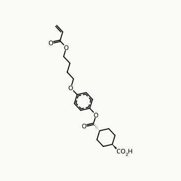 C=CC(=O)OCCCCOc1ccc(OC(=O)[C@H]2CC[C@H](C(=O)O)CC2)cc1